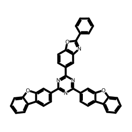 c1ccc(-c2nc3cc(-c4nc(-c5ccc6c(c5)oc5ccccc56)nc(-c5ccc6c(c5)oc5ccccc56)n4)ccc3o2)cc1